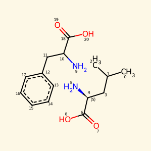 CC(C)C[C@H](N)C(=O)O.NC(Cc1ccccc1)C(=O)O